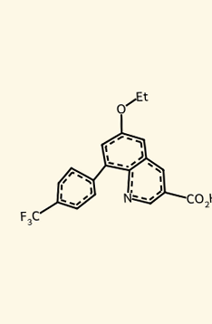 CCOc1cc(-c2ccc(C(F)(F)F)cc2)c2ncc(C(=O)O)cc2c1